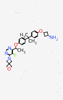 CC(Oc1ccc(C(C)(C)c2ccc(O[C@H]3C[C@H](N)C3)cc2)cc1)c1ncnc(N2CC3(COC3)C2)c1F